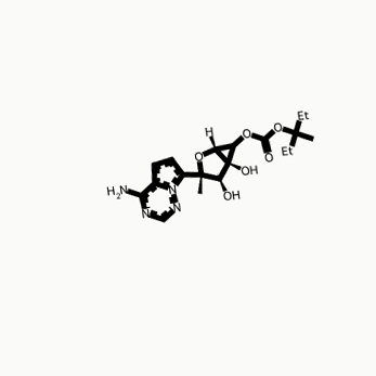 CCC(C)(CC)OC(=O)OC1[C@H]2O[C@@](C)(c3ccc4c(N)ncnn34)[C@H](O)[C@@]12O